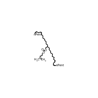 CCCCC/C=C\C/C=C\CCCCCCCCC(CCCCCCCC/C=C\C/C=C\CCCCC)COC(=O)OCCCN(C)C